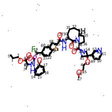 CCCOC(=O)[C@H](C)NP(=O)(Oc1ccccc1)C(F)c1ccc2sc(C(=O)N[C@H]3CCCC[C@H]4CC[C@@H](C(=O)N5CC(OCCOC)(c6cccnc6)C5)N4C3=O)cc2c1